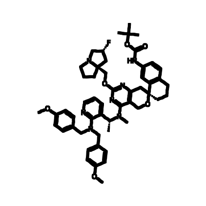 COc1ccc(CN(Cc2ccc(OC)cc2)c2ncccc2[C@@H](C)N(C)c2nc(OC[C@@]34CCCN3C[C@H](F)C4)nc3c2CO[C@@]2(CCCc4ccc(NC(=O)OC(C)(C)C)cc42)C3)cc1